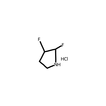 Cl.FC1CCNC1F